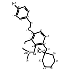 Cc1c(OCc2ccc(F)cc2)ccc(CC2(O)CCCCC2)c1CN(C)C